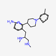 CNCC(Cc1ccc(N)nc1C1CCN(c2cccc(C)c2)CC1)NC